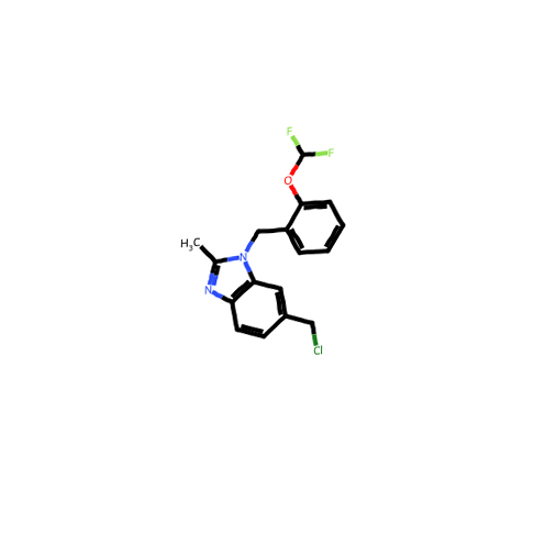 Cc1nc2ccc(CCl)cc2n1Cc1ccccc1OC(F)F